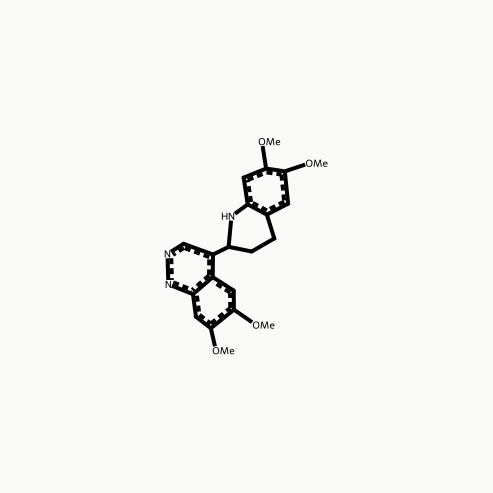 COc1cc2c(cc1OC)NC(c1cnnc3cc(OC)c(OC)cc13)CC2